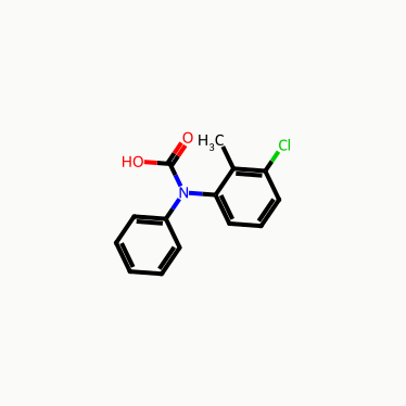 Cc1c(Cl)cccc1N(C(=O)O)c1ccccc1